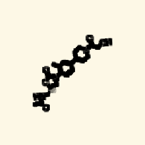 CC(=O)NC[C@H]1CN(c2ccc(C3=CCN(C(=O)CO)CC3)cc2C)C(=O)O1